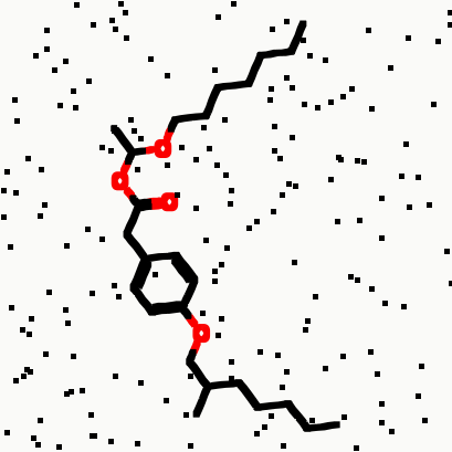 CCCCCCCOC(C)OC(=O)Cc1ccc(OCC(C)CCCCC)cc1